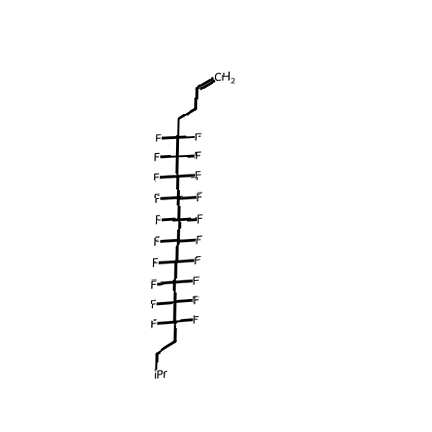 C=CCCC(F)(F)C(F)(F)C(F)(F)C(F)(F)C(F)(F)C(F)(F)C(F)(F)C(F)(F)C(F)(F)C(F)(F)CCC(C)C